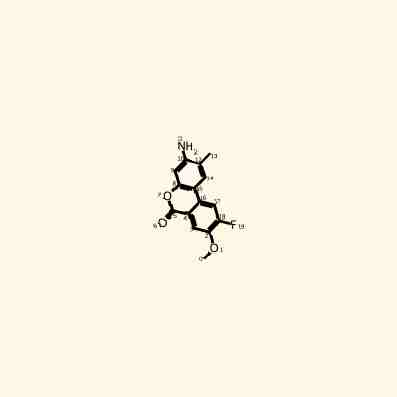 COc1cc2c(=O)oc3cc(N)c(C)cc3c2cc1F